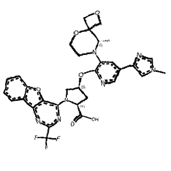 C[C@@H]1N(c2cc(-c3cn(C)cn3)cnc2O[C@H]2C[C@@H](C(=O)O)N(c3nc(C(F)(F)F)nc4c3oc3ccccc34)C2)CCOC12COC2